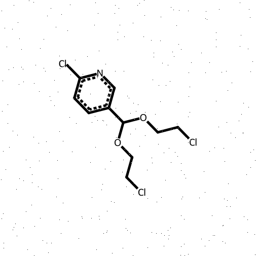 ClCCOC(OCCCl)c1ccc(Cl)nc1